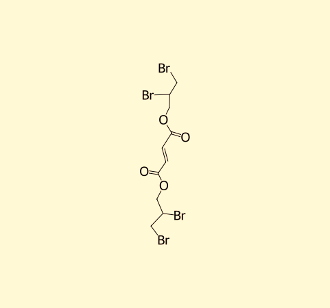 O=C(C=CC(=O)OCC(Br)CBr)OCC(Br)CBr